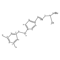 CCCCC(CC)C/N=C/c1ccc(OCc2cc(C)cc(C)c2)cc1